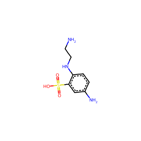 NCCNc1ccc(N)cc1S(=O)(=O)O